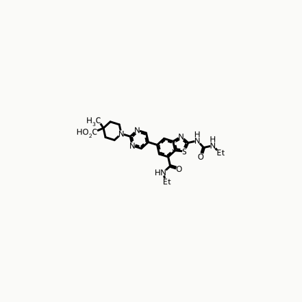 CCNC(=O)Nc1nc2cc(-c3cnc(N4CCC(C)(C(=O)O)CC4)nc3)cc(C(=O)NCC)c2s1